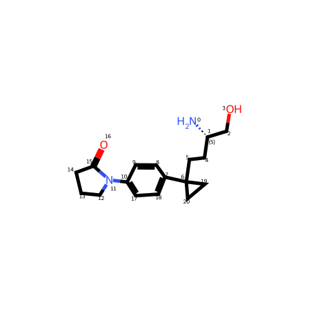 N[C@H](CO)CCC1(c2ccc(N3CCCC3=O)cc2)CC1